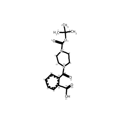 CC(C)(C)OC(=O)N1CCN(C(=O)c2ccccc2C(=O)O)CC1